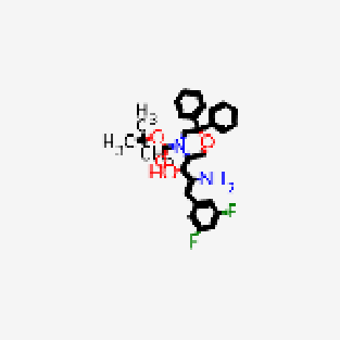 CC(C)(C)OC(=O)N1CC(c2ccccc2)(c2ccccc2)OCC1[C@@H](O)[C@@H](N)Cc1cc(F)cc(F)c1